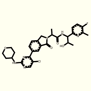 Cc1nc(C(NC(=O)C(C)N2Cc3ccc(-c4nc(NC5CCOCC5)ncc4Cl)cc3C2=O)C(C)O)ccc1F